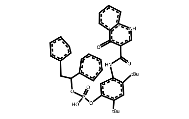 CC(C)(C)c1cc(C(C)(C)C)c(OP(=O)(O)OC(Cc2ccccc2)c2ccccc2)cc1NC(=O)c1c[nH]c2ccccc2c1=O